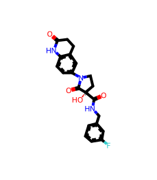 O=C1CCc2cc(N3CC[C@@](O)(C(=O)NCc4cccc(F)c4)C3=O)ccc2N1